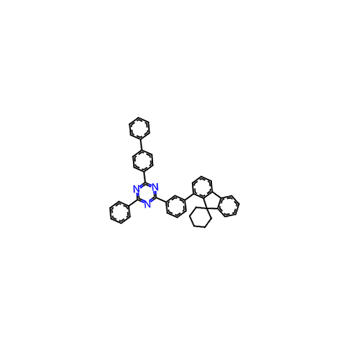 c1ccc(-c2ccc(-c3nc(-c4ccccc4)nc(-c4cccc(-c5cccc6c5C5(CCCCC5)c5ccccc5-6)c4)n3)cc2)cc1